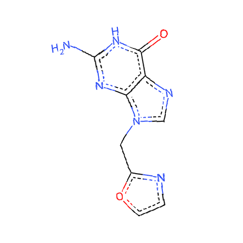 Nc1nc2c(ncn2Cc2ncco2)c(=O)[nH]1